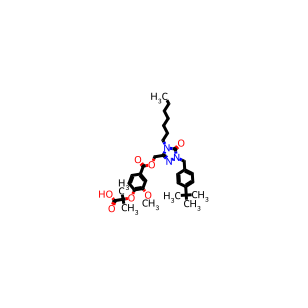 CCCCCCCn1c(COC(=O)c2ccc(OC(C)(C)C(=O)O)c(OC)c2)nn(Cc2ccc(C(C)(C)C)cc2)c1=O